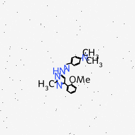 COc1ccccc1-c1cc(N/N=C/c2ccc(N(C)C)cc2)nc(C)n1